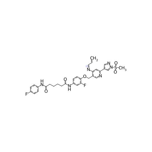 C=C/C=N\c1cc(-c2cnn(S(C)(=O)=O)c2)ncc1COc1ccc(NC(=O)CCCCC(=O)Nc2ccc(F)cc2)cc1F